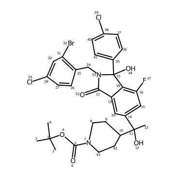 CC(C)(C)OC(=O)N1CCC(C(C)(O)c2cc(F)c3c(c2)C(=O)N(Cc2ccc(Cl)cc2Br)C3(O)c2ccc(Cl)cc2)CC1